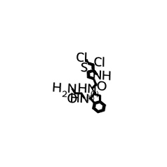 NC(=O)CN[C@H]1c2ccccc2C[C@H]1NC(=O)c1cc2sc(Cl)c(Cl)c2[nH]1